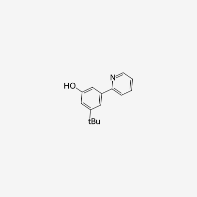 CC(C)(C)c1cc(O)cc(-c2ccccn2)c1